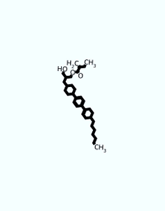 C=C(CC)C(=O)OCC(CO)CC1CCC(c2ccc(C3=CCC(CCCCCCC)CC3)cc2)CC1